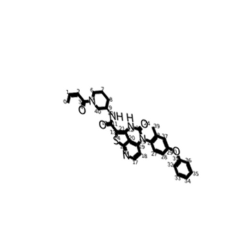 C/C=C\C(=O)N1CCC[C@@H](NC(=O)c2sc3nccc4c3c2NC(=O)N4c2ccc(Oc3ccccc3)cc2C)C1